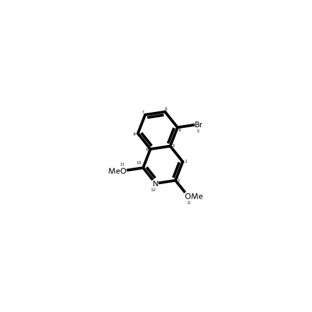 COc1cc2c(Br)cccc2c(OC)n1